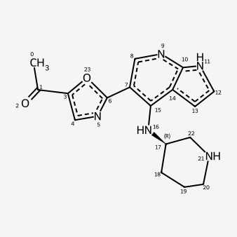 CC(=O)c1cnc(-c2cnc3[nH]ccc3c2N[C@@H]2CCCNC2)o1